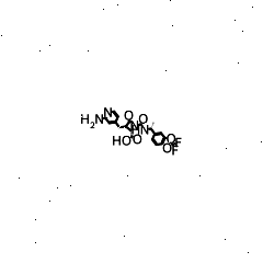 C[C@@H](NC(=O)N1C(=O)C(Cc2ccnc(N)c2)[C@H]1C(=O)O)c1ccc2c(c1)OC(F)(F)O2